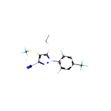 CCSc1c(SC(F)(F)F)c(C#N)nn1-c1c(Cl)cc(C(F)(F)F)cc1Cl